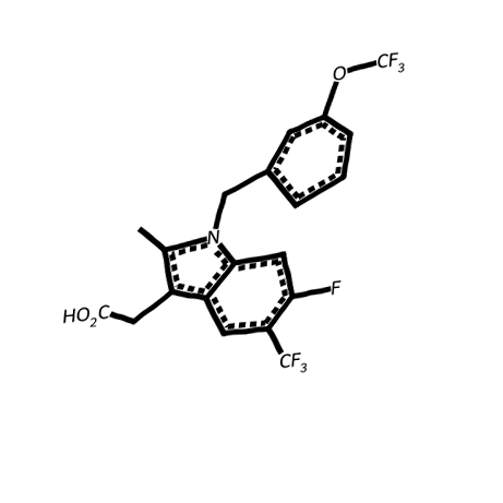 Cc1c(CC(=O)O)c2cc(C(F)(F)F)c(F)cc2n1Cc1cccc(OC(F)(F)F)c1